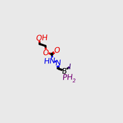 O=C(NN=CB(P)I)OCCO